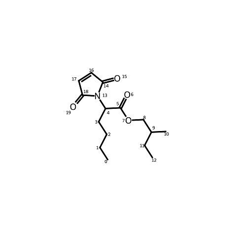 CCCCC(C(=O)OCC(C)CC)N1C(=O)C=CC1=O